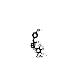 COc1oc([C@]23CC(CO2)C3C(C)=Cc2ccc(C(C)(C)C)cc2)c(C)c(=O)c1C